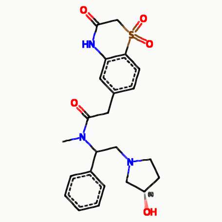 CN(C(=O)Cc1ccc2c(c1)NC(=O)CS2(=O)=O)C(CN1CC[C@H](O)C1)c1ccccc1